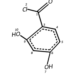 O=C(Cl)c1ccc(O)cc1O